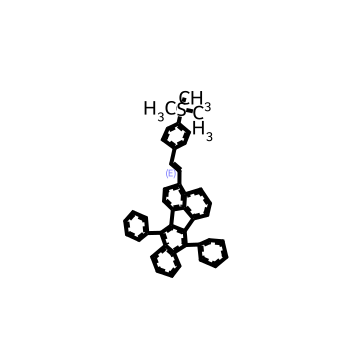 CS(C)(C)c1ccc(/C=C/c2ccc3c4c(cccc24)-c2c-3c(-c3ccccc3)c3ccccc3c2-c2ccccc2)cc1